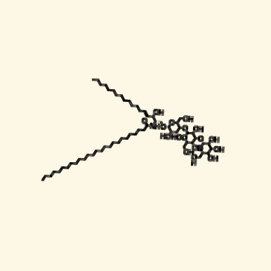 CCCCCCCCCCCCC/C=C/[C@@H](O)[C@H](CO[C@@H]1OC(CO)[C@@H](O[C@@H]2OC(CO)[C@H](O)[C@H](O[C@H]3OC(CO)[C@H](O)[C@H](O)C3O)C2O)[C@H](O)C1O)NC(=O)CCCCCCCCCCCCCCCCCCCCCCCCC